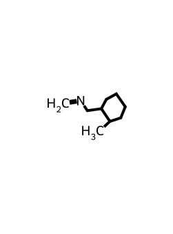 C=NCC1CCCCC1C